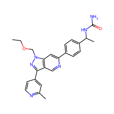 CCOCn1nc(-c2ccnc(C)c2)c2cnc(-c3ccc(C(C)NC(N)=O)cc3)cc21